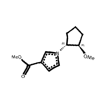 COC(=O)c1ccn([C@@H]2CCC[C@H]2OC)c1